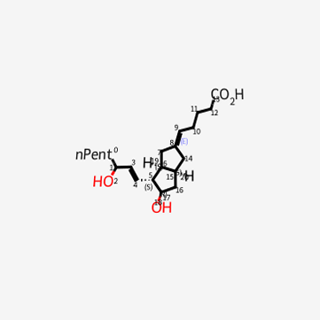 CCCCCC(O)C=C[C@@H]1[C@H]2C/C(=C/CCCC(=O)O)C[C@H]2C[C@H]1O